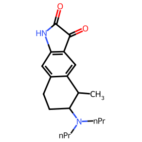 CCCN(CCC)C1CCc2cc3c(cc2C1C)C(=O)C(=O)N3